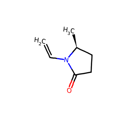 C=CN1C(=O)CC[C@@H]1C